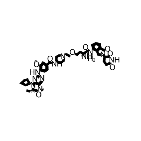 CC[C@@H]1C(=O)N(C)c2cnc(Nc3ccc(C(=O)NC4CCN(CCOCC[C@@H](N)C(=O)Nc5cccc6c5CN(C5CCC(=O)NC5=O)C6=O)CC4)cc3OC)nc2N1C1CCCC1